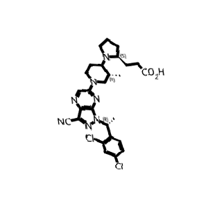 C[C@@H]1CN(c2cnc3c(C#N)nn([C@H](C)c4ccc(Cl)cc4Cl)c3n2)CCC1N1CCC[C@H]1CCC(=O)O